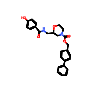 O=C(NCC1CN(C(=O)OCc2ccc(-c3ccccc3)cc2)CCO1)c1ccc(O)cc1